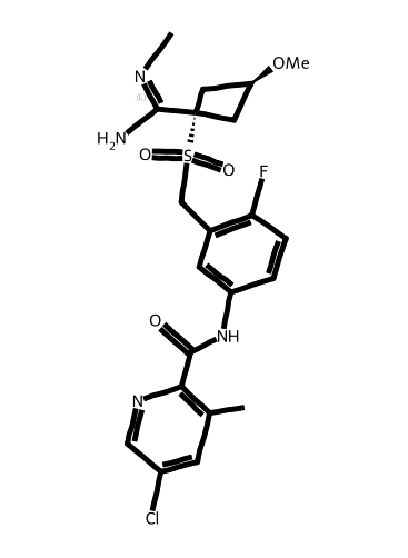 C/N=C(/N)[C@]1(S(=O)(=O)Cc2cc(NC(=O)c3ncc(Cl)cc3C)ccc2F)C[C@H](OC)C1